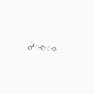 CCOC(=O)c1ccc(N2CCN(c3ccc(C(=O)Nc4nc(-c5ccccc5)c(C)s4)cn3)CC2)cc1